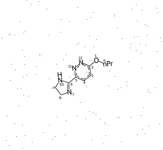 CCCOc1ccc(C2=NCCN2)nn1